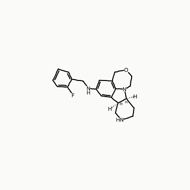 Fc1ccccc1CNc1cc2c3c(c1)[C@@H]1CNCC[C@@H]1N3CCOC2